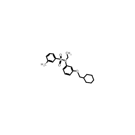 CCN(c1cccc(OCC2CCCCC2)c1)S(=O)(=O)c1cccc(C)c1